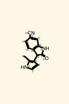 Cc1[nH]ccc1C1C(=O)Nc2cc(C#N)ccc21